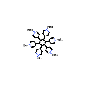 CCCCN1C=CC(=c2c(=C3C=CN(CCCC)C=C3)c(=C3C=CN(CCCC)C=C3)c(=C3C=CN(CCCC)C=C3)c(=C3C=CN(CCCC)C=C3)c2=C2C=CN(CCCC)C=C2)C=C1